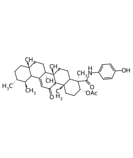 CC(=O)O[C@@H]1CC[C@@]2(C)C(CC[C@]3(C)C2C(=O)C=C2C4[C@@H](C)[C@H](C)CC[C@]4(C)CC[C@]23C)[C@@]1(C)C(=O)Nc1ccc(O)cc1